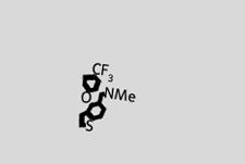 CNCC1CCc2sccc2C1Oc1ccc(C(F)(F)F)cc1